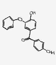 O=C(c1ccc(O)cc1)c1ccc(O)c(Oc2ccccc2)c1